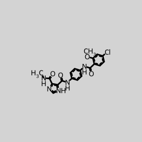 CNC(=O)c1nc[nH]c1C(=O)Nc1ccc(NC(=O)c2ccc(Cl)cc2OC)cc1